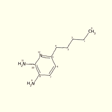 CCCCCc1ccc(N)c(N)n1